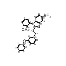 COc1ccccc1-n1c(SCc2cccc(Oc3ccccc3)c2)nc2cc([N+](=O)[O-])ccc21